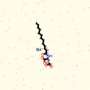 CCCCCCCCCCCCC(=O)N[C@@H](CC(=O)[O-])C(=O)O.[Na+]